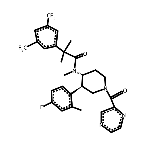 Cc1cc(F)ccc1[C@@H]1CN(C(=O)c2cnccn2)CC[C@H]1N(C)C(=O)C(C)(C)c1cc(C(F)(F)F)cc(C(F)(F)F)c1